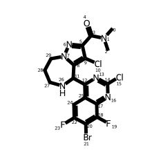 CN(C)C(=O)c1nn2c(c1Cl)C(c1nc(Cl)nc3c(F)c(Br)c(F)cc13)NCCC2